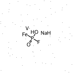 O=[P](O)(F)[Fe].[NaH].[V]